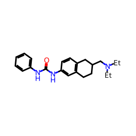 CCN(CC)CC1CCc2cc(NC(=O)Nc3ccccc3)ccc2C1